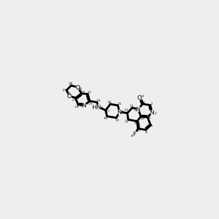 O=c1cnc2ccc(F)c3c2n1CC(N1CCC(NCc2cc4c(cn2)OCCO4)CC1)C3